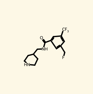 O=C(NCC1CCNCC1)c1cc(CF)cc(C(F)(F)F)c1